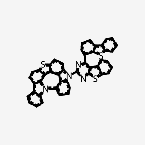 c1ccc2c(c1)sc1c(-c3nc(-n4c5ccc6sc7ccc8c9ccccc9n9c%10cccc4c%10c5c6c7c89)nc4sc5ccccc5c34)cccc12